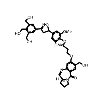 COc1cc(C2CC(c3cc(CO)c(CO)c(CO)c3)=NO2)cc(OC)c1OCCCOc1cc2c(cc1CO)C(=O)N1CCC[C@H]1C=N2